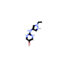 CCn1cc(Nc2ncc(Br)cn2)cn1